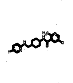 Cc1ncc(Cl)cc1C(=O)NC1CCC(CNc2ccc(F)cn2)CC1